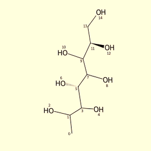 CC(O)C(O)[C@H](O)C(O)C(O)[C@H](O)CO